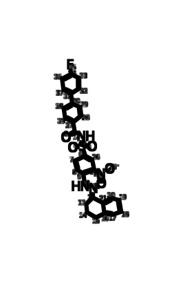 O=C(NS(=O)(=O)c1ccc(NN=C2CCCc3ccccc32)c([N+](=O)[O-])c1)c1ccc(-c2ccc(F)cc2)cc1